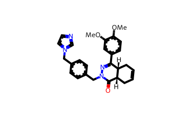 COc1ccc(C2=NN(Cc3ccc(Cn4ccnc4)cc3)C(=O)[C@H]3CC=CC[C@@H]23)cc1OC